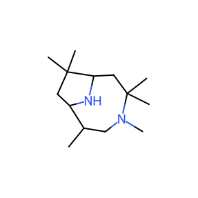 CC1CN(C)C(C)(C)CC2NC1CC2(C)C